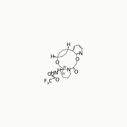 O=C1COc2ncccc2[C@H]2CC[C@H](CC2)OC[C@H]2[C@@H](NS(=O)(=O)C(F)(F)F)CCCN12